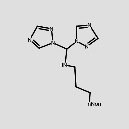 CCCCCCCCCCCCNC(n1cncn1)n1cncn1